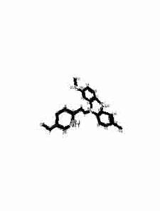 CCC1CCC(CCN2c3ccc(C)cc3Sc3ccc(SC)cc32)NC1